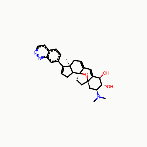 CN(C)[C@H]1C[C@@]23CC[C@@]4(O2)C(=CC[C@]2(C)C(c5ccc6ccnnc6c5)=CCC24)C=C3[C@@H](O)[C@@H]1O